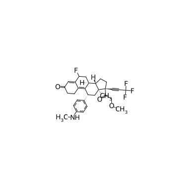 CNc1ccc([C@H]2C[C@@]3(C)[C@@H](CC[C@]3(C#CC(F)(F)F)C(=O)COC)[C@@H]3CC(F)C4=CC(=O)CCC4=C32)cc1